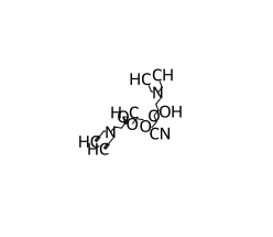 C#CCN(CC#C)CCC(=O)OC(C)COC(C#N)COC(O)CCN(CC#C)CC#C